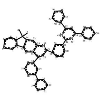 CC1(C)c2ccccc2-c2cc3c(-c4cccc(-c5ccccc5)c4)cc(-c4cccc(-c5nc(-c6ccccc6)cc(-c6ccccc6)n5)c4)nc3cc21